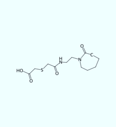 O=C(O)CSCC(=O)NCCN1CCCCCC1=O